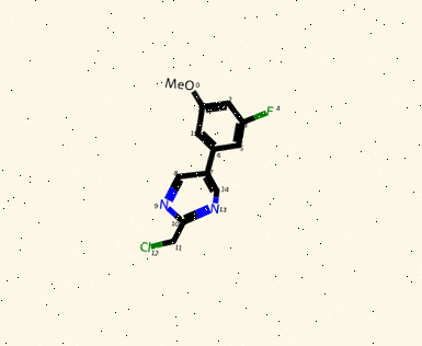 COc1cc(F)cc(-c2cnc(CCl)nc2)c1